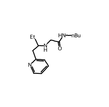 CCCCNC(=O)CNC(CC)Cc1ccccn1